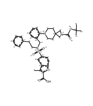 Cc1c(C(=O)O)oc2ccc(S(=O)(=O)N(CCc3ccccc3)Cc3ccccc3N3CCC4(CC3)CN(C(=O)OC(C)(C)C)C4)cc12